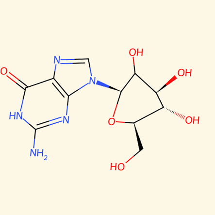 Nc1nc2c(ncn2[C@@H]2O[C@H](CO)[C@@H](O)[C@H](O)C2O)c(=O)[nH]1